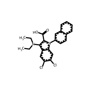 CCN(CC)c1c(C(=O)O)n(-c2ccc3ccccc3c2)c2cc(Cl)c(Cl)cc12